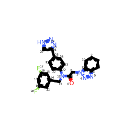 O=C(Cn1nnc2ccccc21)N(Cc1cc(F)cc(F)c1)c1ccc(-c2c[nH]nn2)cc1